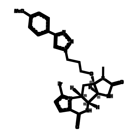 COc1ccc(-c2cn(CCCO[C@@]34C[C@@H]5[C@@H](NC(=O)c6ccc(Br)n65)[C@@H]3NC(=O)N4C)nn2)cc1